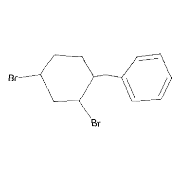 BrC1CCC(c2ccccc2)C(Br)C1